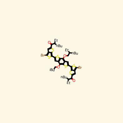 CCCCC(CC)COc1c2cc(-c3sc(Br)c4cc(C(=O)C(CC)CCCC)sc34)sc2c(OCC(C)CC)c2cc(-c3sc(Br)c4cc(C(=O)C(CC)CCCC)sc34)sc12